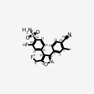 Cc1cc(-c2noc(CF)c2-c2ccc(S(N)(=O)=O)c(F)c2)ccc1C#N